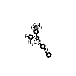 Cc1c(COc2ccc(OCc3ccccc3)cc2)cc(-c2ccc(S(C)(=O)=O)cc2)n1-c1ccc(F)cc1